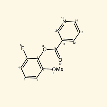 COc1cccc(F)c1OC(=O)c1cccnc1